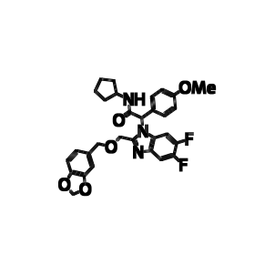 COc1ccc(C(C(=O)NC2CCCC2)n2c(COCc3ccc4c(c3)OCO4)nc3cc(F)c(F)cc32)cc1